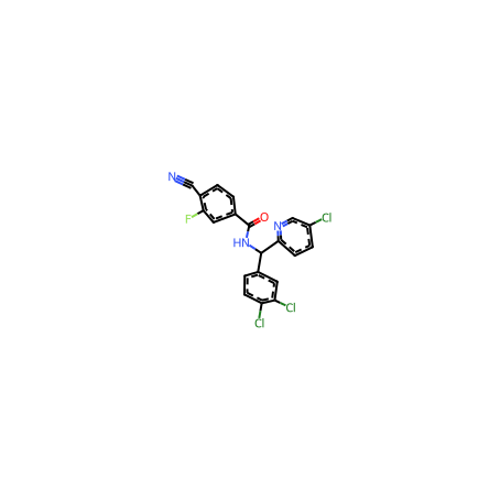 N#Cc1ccc(C(=O)NC(c2ccc(Cl)c(Cl)c2)c2ccc(Cl)cn2)cc1F